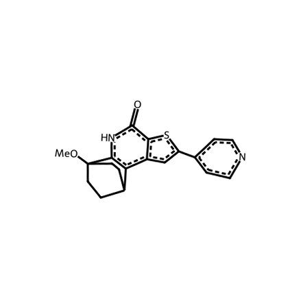 COC12CCC(CC1)c1c2[nH]c(=O)c2sc(-c3ccncc3)cc12